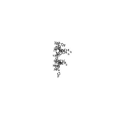 CN[C@@H](C)C(=O)/N=C1\CN(C(=O)Nc2ccc(NC(=O)N3CC[C@H]4CC[C@@H](C(=O)N[C@H]5C[C@@H]5c5ccc(F)cc5)N4C(=O)[C@@H](NC(=O)[C@H](C)NC)C3)cc2)CC[C@H]2CC[C@@H](C(=O)N[C@H]3C[C@@H]3c3ccc(F)cc3)N2C1=O